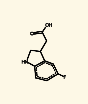 O=C(O)CC1CNc2ccc(F)cc21